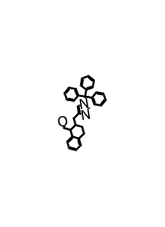 O=CC1c2ccccc2CCC1Cc1cn(C(c2ccccc2)(c2ccccc2)c2ccccc2)cn1